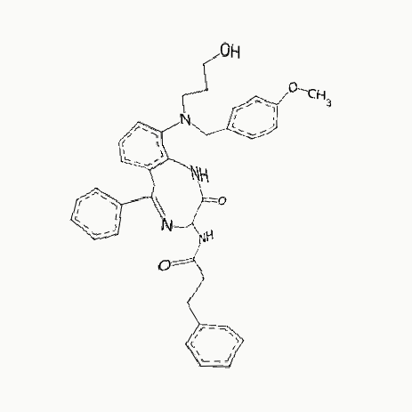 COc1ccc(CN(CCCO)c2cccc3c2NC(=O)C(NC(=O)CCc2ccccc2)N=C3c2ccccc2)cc1